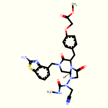 CNC(=O)N(CC#N)N1CC(=O)N2C(Cc3ccc(OCC(=O)OC)cc3)C(=O)N(Cc3cccc4sc(N)nc34)C[C@@H]21